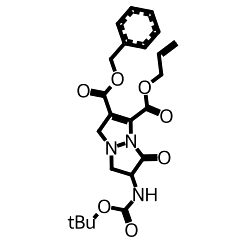 C=CCOC(=O)C1=C(C(=O)OCc2ccccc2)CN2CC(NC(=O)OC(C)(C)C)C(=O)N12